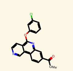 COC(=O)c1ccc2c(c1)nc(Oc1cccc(Cl)c1)c1ccncc12